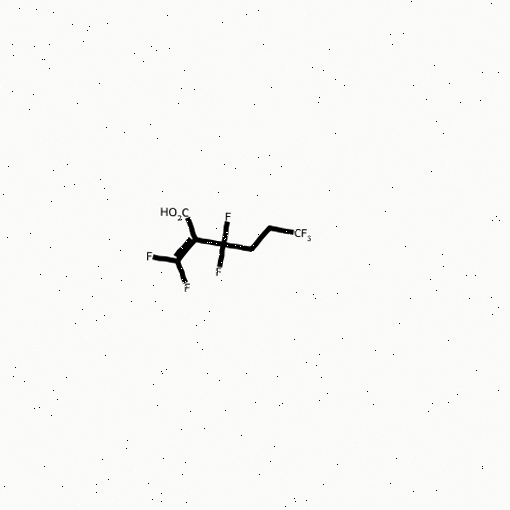 O=C(O)C(=C(F)F)C(F)(F)CCC(F)(F)F